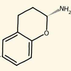 N[C@H]1CCc2c[c]ccc2O1